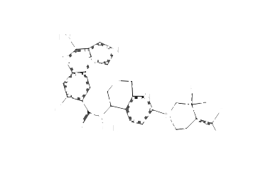 Cc1cc2nc(N)c3cncn3c2cc1C(=O)N(C)C1COCc2nc(N3CCC(=C(F)F)C(F)(F)C3)ccc21